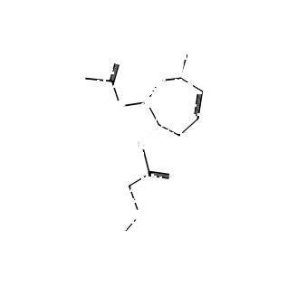 CSCC(=O)N[C@H]1CC=C[C@H](C)OB1OC(C)=O